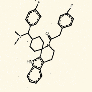 CN(C)C(c1ccc(F)cc1)C1CCC2(CC1)c1[nH]c3ccccc3c1CCN2C(=O)Cc1ccc(F)cc1